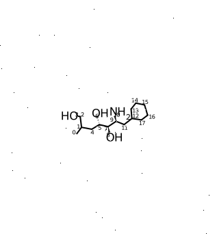 CC(CO)C[C@H](O)[C@H](O)[C@@H](N)CC1CCCCC1